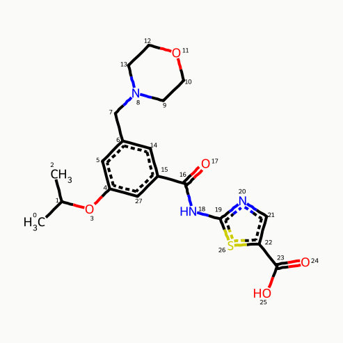 CC(C)Oc1cc(CN2CCOCC2)cc(C(=O)Nc2ncc(C(=O)O)s2)c1